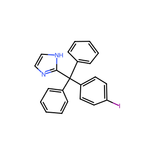 Ic1ccc(C(c2ccccc2)(c2ccccc2)c2ncc[nH]2)cc1